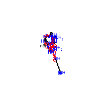 CCCC[C@H](NC(=O)[C@H](CCCCN)NC(=O)[C@H](Cc1c[nH]cn1)NC(=O)[C@H](CCC(N)=O)NC(=O)[C@H](CO)NC(=O)CNC(=O)COCCOCCNC(=O)CCCCCCCCCCCCCCCc1nnn[nH]1)C(=O)N[C@H]1CCC(=O)NCCCC[C@@H](C(N)=O)NC(=O)[C@H](Cc2c[nH]c3ccccc23)NC(=O)[C@H](CCCNC(=N)N)NC(=O)[C@@H](Cc2ccccc2)NC(=O)[C@@H]2C[C@@H](O)CN2C1=O